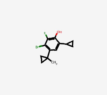 CC1(c2cc(C3CC3)c(O)c(F)c2Br)CC1